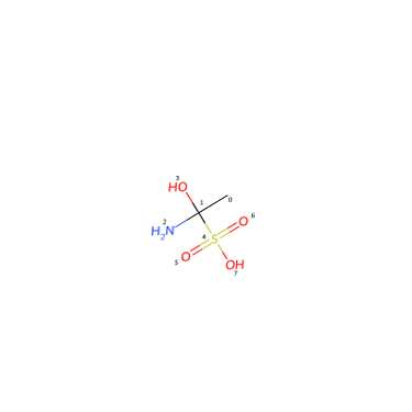 CC(N)(O)S(=O)(=O)O